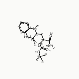 CN1c2ccccc2NC(=O)C1CC(NC(=O)OC(C)(C)C)C(N)=O